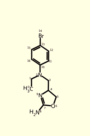 CCN(CC1COC(N)=N1)c1ccc(Br)cc1